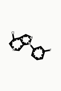 Fc1cccc(-n2ncc3c(Cl)cncc32)c1